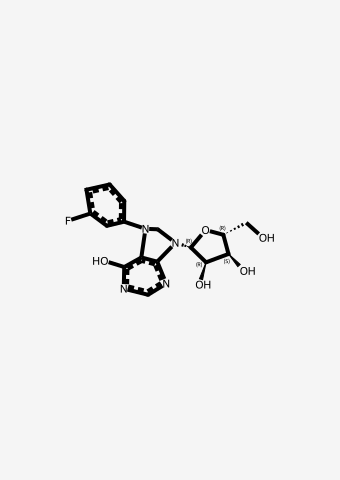 OC[C@H]1O[C@@H](N2CN(c3cccc(F)c3)c3c(O)ncnc32)[C@H](O)[C@@H]1O